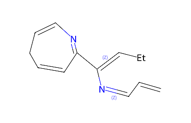 C=C/C=N\C(=C/CC)C1=NC=CCC=C1